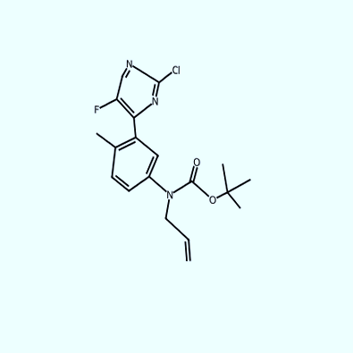 C=CCN(C(=O)OC(C)(C)C)c1ccc(C)c(-c2nc(Cl)ncc2F)c1